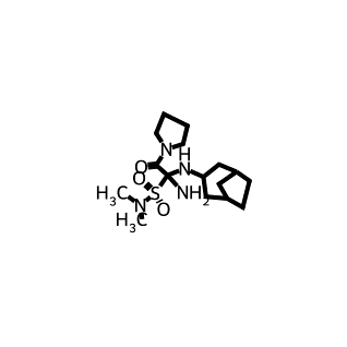 CN(C)S(=O)(=O)C(N)(NC1CC2CCC(C2)C1)C(=O)N1CCCC1